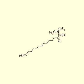 CCCCCCCCCCCCCCCCCCCCCC(=O)N(CC)N(C)C